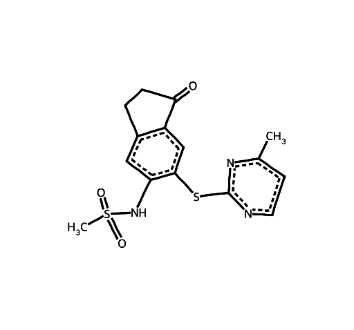 Cc1ccnc(Sc2cc3c(cc2NS(C)(=O)=O)CCC3=O)n1